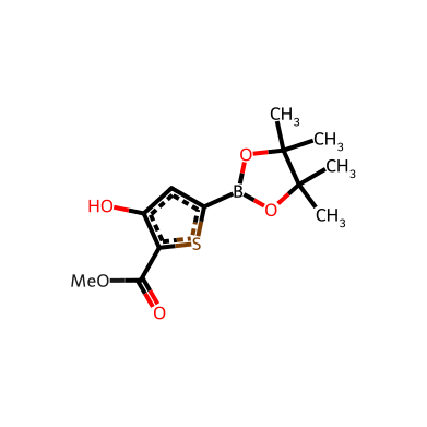 COC(=O)c1sc(B2OC(C)(C)C(C)(C)O2)cc1O